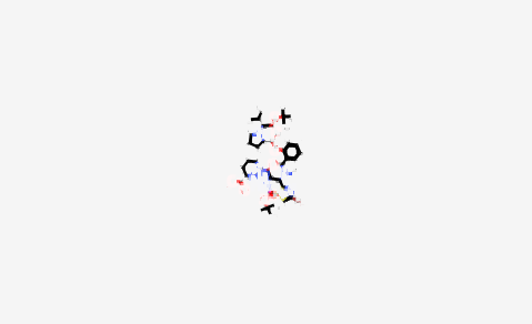 COC(=O)[C@@H]1CCCN(C(=O)[C@@H](NC(=O)OC(C)(C)C)[C@@H](c2nc(Br)cs2)N(C)Cc2ccccc2OC[C@H]2CCCN2[C@H](C(=O)OC(C)(C)C)C(C)C)N1